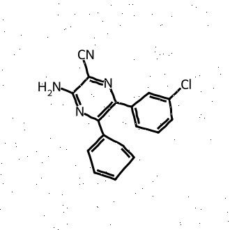 N#Cc1nc(-c2cccc(Cl)c2)c(-c2ccccc2)nc1N